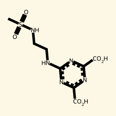 CS(=O)(=O)NCCNc1nc(C(=O)O)nc(C(=O)O)n1